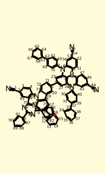 N#Cc1ccc(-n2c3ccc(-c4ccccc4)cc3c3cc(-c4cc5c6c(c4)N(c4ccc(-c7ccccc7)cc4)c4cc(C#N)ccc4B6c4ccc(C#N)cc4N5c4ccc(-c5ccccc5)cc4)ccc32)c(-c2nc(-c3ccccc3)nc(-c3ccccc3)n2)c1